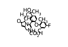 Cc1cc(F)cc(C)c1Oc1ccc(C(C)(C)O)cc1C1=CN(C(=O)O)CC2=CC(=O)C(C)N21